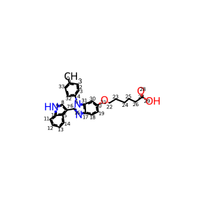 Cc1ccc(-n2c(-c3c[nH]c4ccccc34)nc3ccc(OCCCCCC(=O)O)cc32)cc1